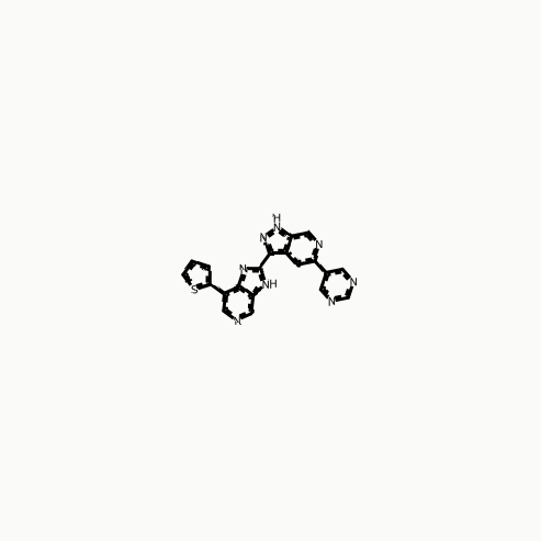 c1csc(-c2cncc3[nH]c(-c4n[nH]c5cnc(-c6cncnc6)cc45)nc23)c1